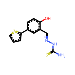 NC(=S)N/N=C/c1cc(-c2cccs2)ccc1O